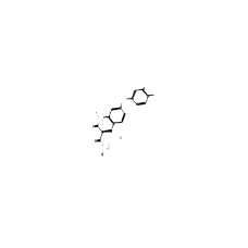 Cn1c(=O)c(C(=O)NCC(=O)O)c(O)c2ccc(Oc3ccc(Cl)c(F)c3)cc21